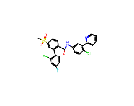 CS(=O)(=O)c1ccc(C(=O)Nc2ccc(Cl)c(-c3ccccn3)c2)c(-c2ccc(F)cc2Cl)c1